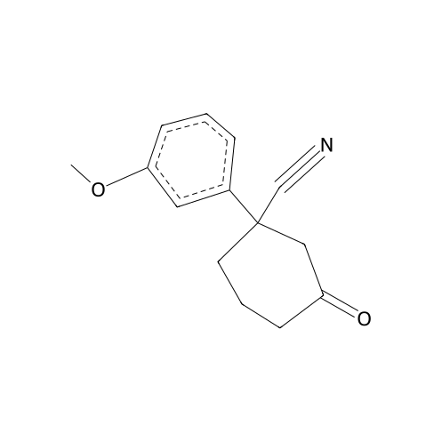 COc1cccc(C2(C#N)CCCC(=O)C2)c1